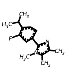 Cc1nc(-c2ccc(C(C)C)c(F)c2)n(C)c1C